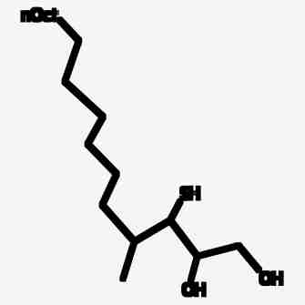 CCCCCCCCCCCCCCC(C)C(S)C(O)CO